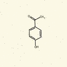 CC(=O)c1c[c]c(O)cc1